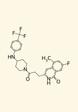 Cc1cc(F)cc2c(=O)[nH]c(CCC(=O)N3CCC(Nc4ccc(C(F)(F)F)cc4)CC3)cc12